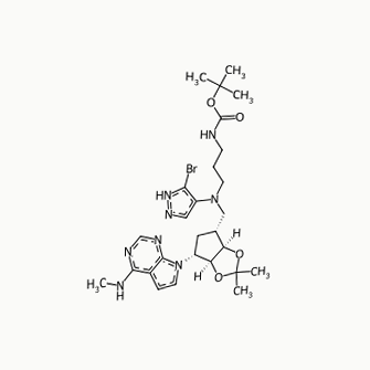 CNc1ncnc2c1ccn2[C@@H]1C[C@H](CN(CCCNC(=O)OC(C)(C)C)c2cn[nH]c2Br)[C@H]2OC(C)(C)O[C@H]21